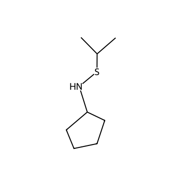 CC(C)SNC1CCCC1